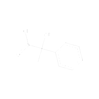 CC(C(=O)Cl)(c1ccccc1)C(F)(F)F